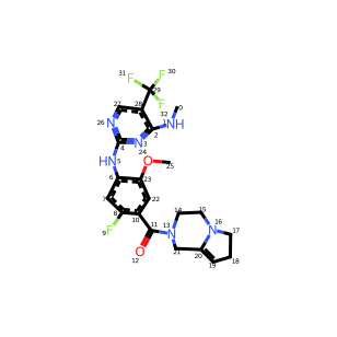 CNc1nc(Nc2cc(F)c(C(=O)N3CCN4CCC=C4C3)cc2OC)ncc1C(F)(F)F